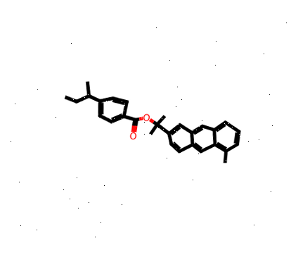 CCC(C)c1ccc(C(=O)OC(C)(C)c2ccc3cc4c(C)cccc4cc3c2)cc1